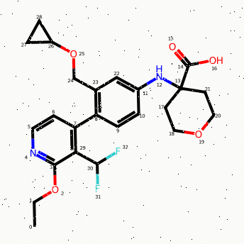 CCOc1nccc(-c2ccc(NC3(C(=O)O)CCOCC3)cc2COC2CC2)c1C(F)F